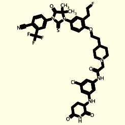 CC1(C)C(=O)N(c2ccc(C#N)c(C(F)(F)F)c2)C(=S)N1c1ccc(OCCC2CCN(CC(=O)Nc3cc(Cl)cc(NC4CCC(=O)NC4=O)c3)CC2)c(CCF)c1